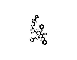 CC(C)[C@H](NC(=O)N(C)Cc1csc(C2CCC2)n1)C(=O)N[C@@H](Cc1ccccc1)CC(O)C(Cc1ccccc1)NC(=O)OCc1cncs1